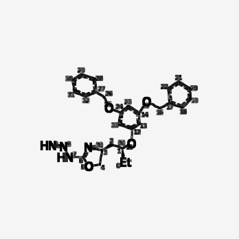 CC[C@@H](C[C@H]1COC(NN=N)=N1)Oc1cc(OCc2ccccc2)cc(OCc2ccccc2)c1